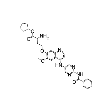 COc1cc2c(Nc3cnc(NC(=O)c4ccccc4)nc3)ccnc2cc1OCCC(N)C(=O)OC1CCCC1